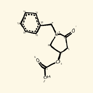 O=C(O)OC1CC(=O)N(Cc2ccccc2)C1